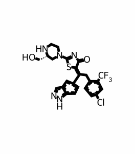 O=C1N=C(N2CCN[C@@H](CO)C2)SC1=C(Cc1ccc(Cl)cc1C(F)(F)F)c1ccc2[nH]ncc2c1